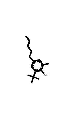 CCCCCc1cc(C)c(O)c(C(C)(C)C)c1